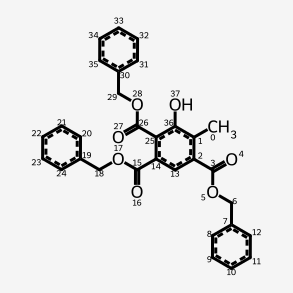 Cc1c(C(=O)OCc2ccccc2)cc(C(=O)OCc2ccccc2)c(C(=O)OCc2ccccc2)c1O